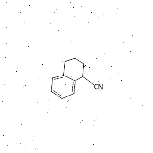 N#CC1CC[CH]c2ccccc21